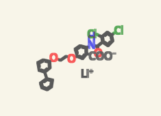 O=C(Nc1ccc(OCCOc2cccc(-c3ccccc3)c2)cc1C(=O)[O-])c1ccc(Cl)cc1Cl.[Li+]